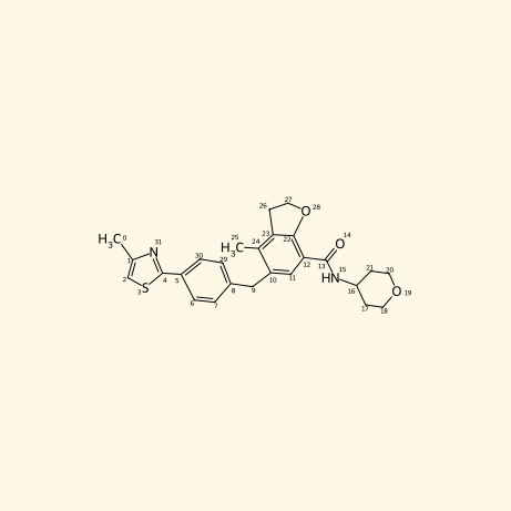 Cc1csc(-c2ccc(Cc3cc(C(=O)NC4CCOCC4)c4c(c3C)CCO4)cc2)n1